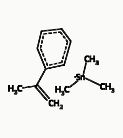 C=C(C)c1ccccc1.[CH3][Sn]([CH3])[CH3]